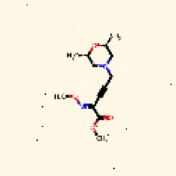 CON=C(C#CCN1C[C@@H](C)O[C@@H](C)C1)C(=O)OC